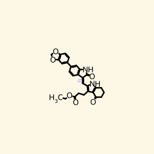 CCOC(=O)CCc1c(/C=C2\C(=O)Nc3cc(-c4ccc5c(c4)OCO5)ccc32)[nH]c2c1C(=O)CCC2